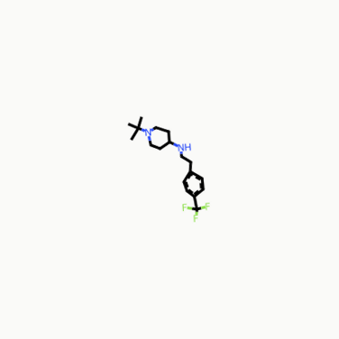 CC(C)(C)N1CCC(NCCc2ccc(C(F)(F)F)cc2)CC1